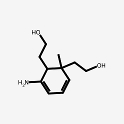 CC1(CCO)C=CC=C(N)C1CCO